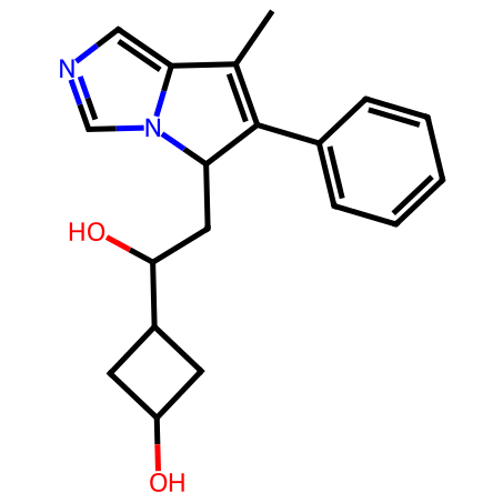 CC1=C(c2ccccc2)C(CC(O)C2CC(O)C2)n2cncc21